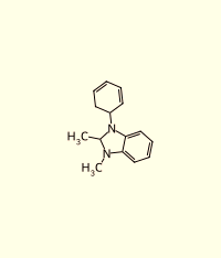 CC1N(C)c2ccccc2N1C1C=CC=CC1